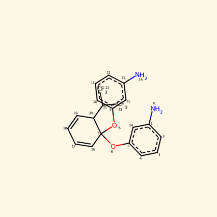 Nc1cccc(OC2(Oc3cccc(N)c3)C=CC=CC2C(C(F)(F)F)C(F)(F)F)c1